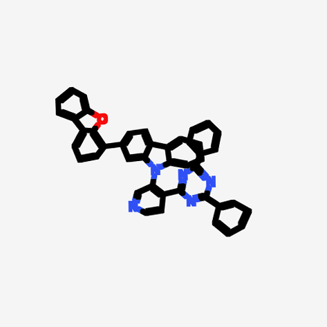 c1ccc(-c2nc(-c3ccccc3)nc(-c3ccncc3-n3c4ccccc4c4ccc(-c5cccc6c5oc5ccccc56)cc43)n2)cc1